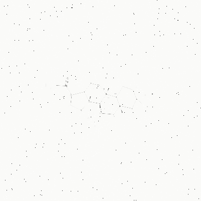 CC(=O)C1CC[C@H]2[C@@H]3[C@@H](C)C[C@H]4C[C@](C)(O)CC[C@]4(C)[C@H]3CC[C@]12C